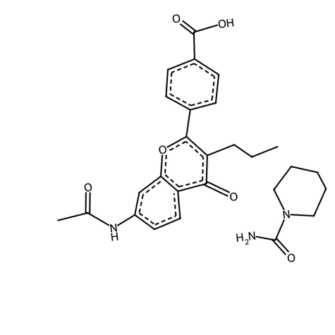 CCCc1c(-c2ccc(C(=O)O)cc2)oc2cc(NC(C)=O)ccc2c1=O.NC(=O)N1CCCCC1